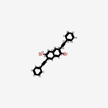 Brc1cc2cc(C#Cc3ccccc3)c(Br)cc2cc1C#Cc1ccccc1